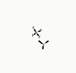 C[S+](C)C.F[B-](F)(F)F